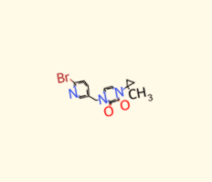 CC1(n2ccn(Cc3ccc(Br)nc3)c(=O)c2=O)CC1